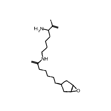 C=C(CCCCCC1CC2OC2C1)NCCCCC(N)C(=C)C